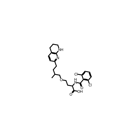 CC(CCc1ccc2c(n1)NCCC2)COCCC(NC(=O)c1c(Cl)cccc1Cl)C(=O)O